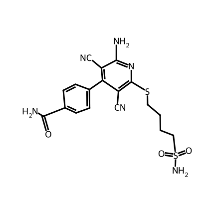 N#Cc1c(N)nc(SCCCCS(N)(=O)=O)c(C#N)c1-c1ccc(C(N)=O)cc1